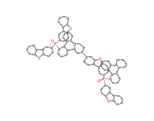 O=P(c1ccc2oc3ccccc3c2c1)(c1ccc2oc3cc(-c4ccc5c6ccccc6c6c(P(=O)(c7ccc8sc9ccccc9c8c7)c7ccc8sc9ccccc9c8c7)cccc6c5c4)ccc3c2c1)c1cccc2c3ccccc3c3ccccc3c12